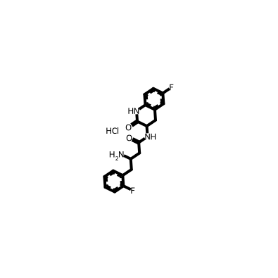 Cl.NC(CC(=O)NC1Cc2cc(F)ccc2NC1=O)Cc1ccccc1F